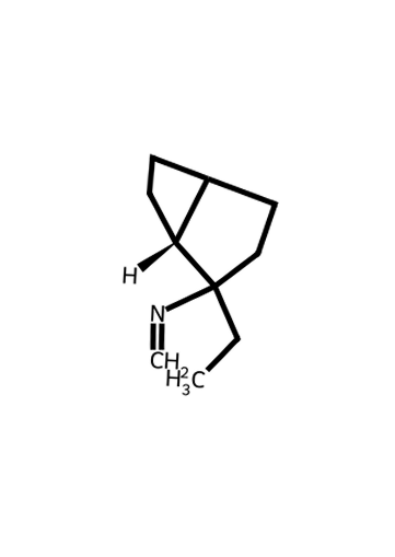 C=NC1(CC)CCC2CC[C@H]21